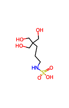 O=S(=O)(O)NCCCC(CO)(CO)CO